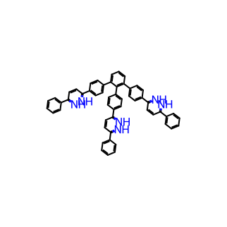 N=C(/C=C\C(=N)c1ccc(-c2cccc(-c3ccc(C(=N)/C=C\C(=N)c4ccccc4)cc3)c2-c2ccc(C(=N)/C=C\C(=N)c3ccccc3)cc2)cc1)c1ccccc1